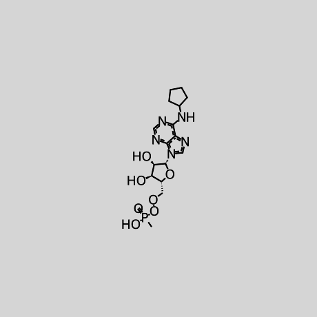 CP(=O)(O)OOC[C@H]1O[C@@H](n2cnc3c(NC4CCCC4)ncnc32)[C@H](O)[C@@H]1O